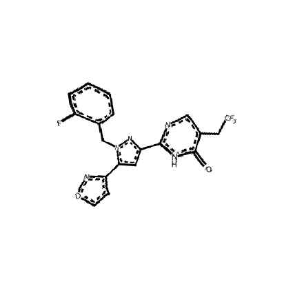 O=c1[nH]c(-c2cc(-c3ccon3)n(Cc3ccccc3F)n2)ncc1CC(F)(F)F